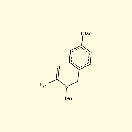 COc1ccc(CN(C(=O)C(F)(F)F)C(C)(C)C)cc1